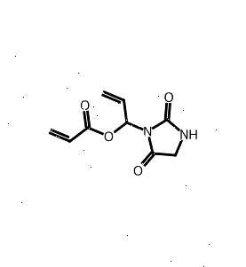 C=CC(=O)OC(C=C)N1C(=O)CNC1=O